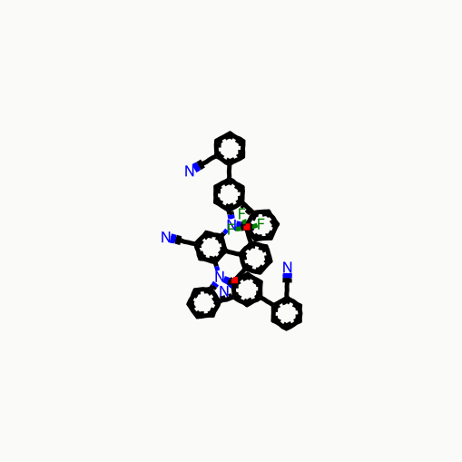 N#Cc1cc(-n2c3ccccc3c3cc(-c4ccccc4C#N)ccc32)c(-c2c(C#N)cccc2C(F)(F)F)c(-n2c3ccccc3c3cc(-c4ccccc4C#N)ccc32)c1